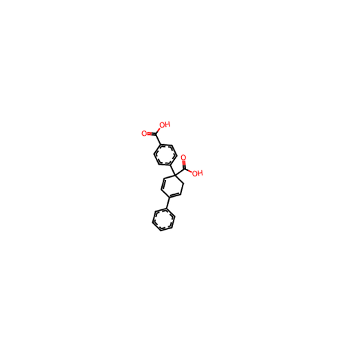 O=C(O)c1ccc(C2(C(=O)O)C=CC(c3ccccc3)=CC2)cc1